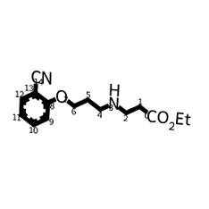 CCOC(=O)CCNCCCOc1ccccc1C#N